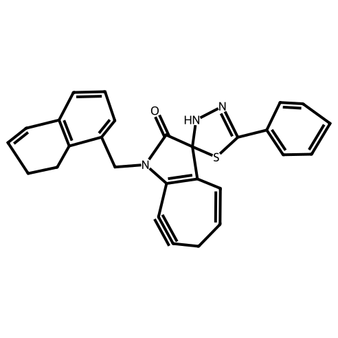 O=C1N(Cc2cccc3c2CCC=C3)C2=C(C=CCC#C2)C12NN=C(c1ccccc1)S2